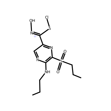 CCCNc1ncc(/C(=N/O)SCl)nc1S(=O)(=O)CCC